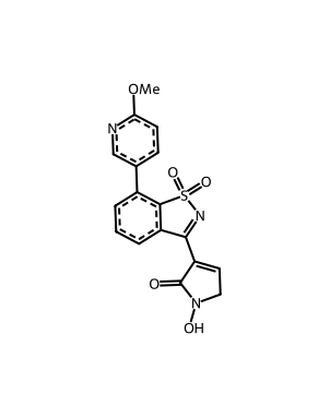 COc1ccc(-c2cccc3c2S(=O)(=O)N=C3C2=CCN(O)C2=O)cn1